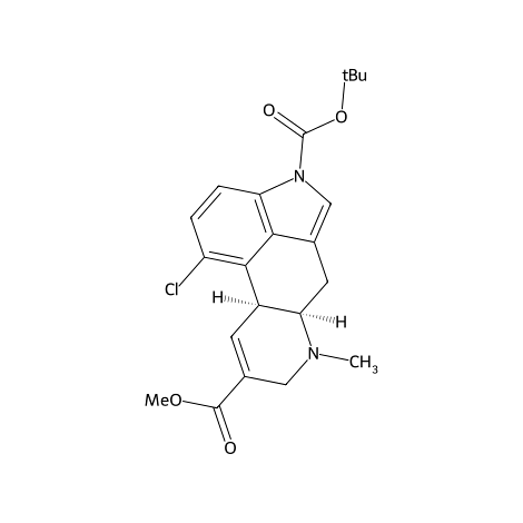 COC(=O)C1=C[C@H]2c3c(Cl)ccc4c3c(cn4C(=O)OC(C)(C)C)C[C@H]2N(C)C1